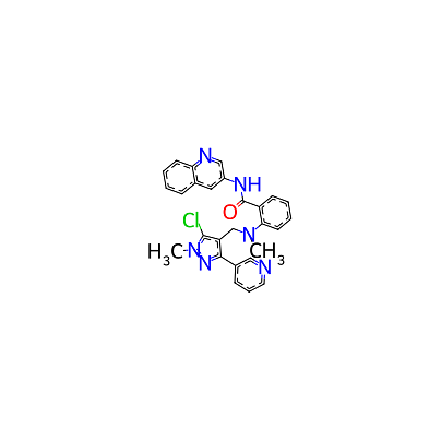 CN(Cc1c(-c2cccnc2)nn(C)c1Cl)c1ccccc1C(=O)Nc1cnc2ccccc2c1